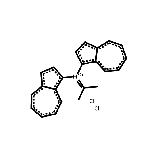 C[C](C)=[Hf+2]([c]1ccc2cccccc1-2)[c]1ccc2cccccc1-2.[Cl-].[Cl-]